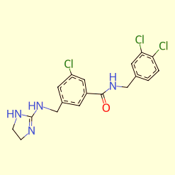 O=C(NCc1ccc(Cl)c(Cl)c1)c1cc(Cl)cc(CNC2=NCCN2)c1